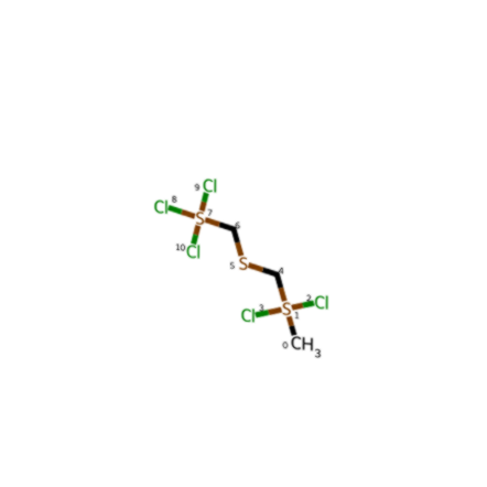 CS(Cl)(Cl)CSCS(Cl)(Cl)Cl